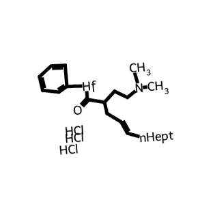 CCCCCCCC=CCC(CCN(C)C)[C](=O)[Hf][c]1ccccc1.Cl.Cl.Cl